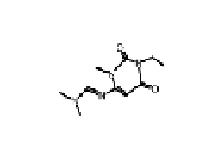 CCn1c(=O)cc(N=CN(C)C)n(C)c1=O